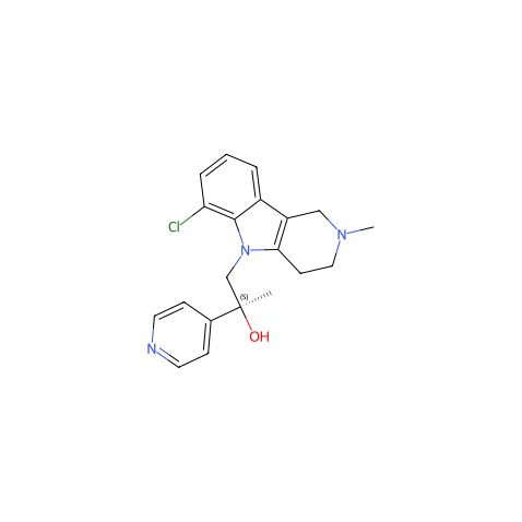 CN1CCc2c(c3cccc(Cl)c3n2C[C@@](C)(O)c2ccncc2)C1